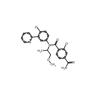 COCC(C)N(C(=O)c1ccc(C(N)=O)cc1Cl)c1ccc(Cl)c(-c2ccccn2)c1